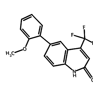 COc1ccccc1-c1ccc2[nH]c(=O)cc(C(F)(F)F)c2c1